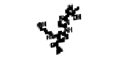 Cn1ncc(-c2nccc(Nc3cc(NCCCCO)c(C(=O)C4CC4)cn3)n2)c1O